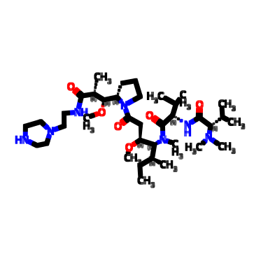 CC[C@H](C)[C@@H]([C@H](CC(=O)N1CCC[C@H]1[C@H](OC)[C@@H](C)C(=O)NCCN1CCNCC1)OC)N(C)C(=O)[C@@H](NC(=O)[C@H](C(C)C)N(C)C)C(C)C